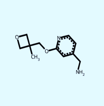 CC1(COc2cc(CN)ccn2)COC1